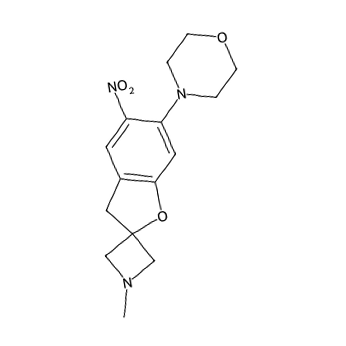 CN1CC2(Cc3cc([N+](=O)[O-])c(N4CCOCC4)cc3O2)C1